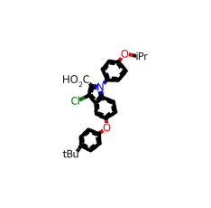 CC(C)Oc1ccc(-n2c(C(=O)O)c(Cl)c3cc(Oc4ccc(C(C)(C)C)cc4)ccc32)cc1